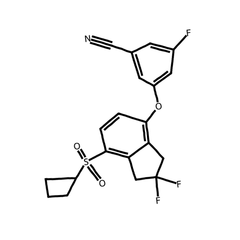 N#Cc1cc(F)cc(Oc2ccc(S(=O)(=O)C3CCC3)c3c2CC(F)(F)C3)c1